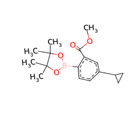 COC(=O)c1cc(C2CC2)ccc1B1OC(C)(C)C(C)(C)O1